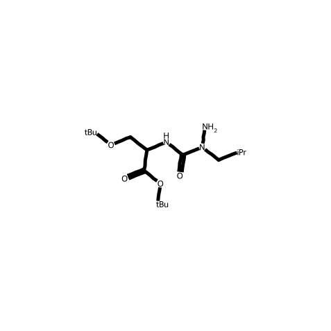 CC(C)CN(N)C(=O)NC(COC(C)(C)C)C(=O)OC(C)(C)C